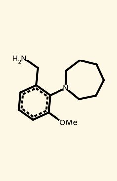 COc1cccc(CN)c1N1CCCCCC1